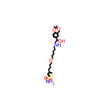 CC1(C)OCc2cc([C@@H](O)CNCCCCCCOCCCCc3csc(S(N)(=O)=O)c3)ccc2O1